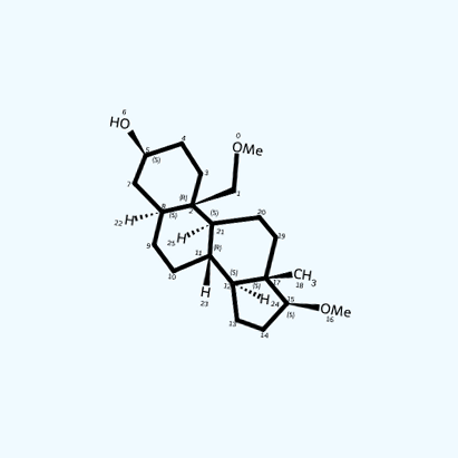 COC[C@]12CC[C@H](O)C[C@@H]1CC[C@H]1[C@@H]3CC[C@H](OC)[C@@]3(C)CC[C@@H]12